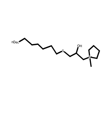 CCCCCCCCCCCCCCCCSCC(O)C[N+]1(C)CCCC1